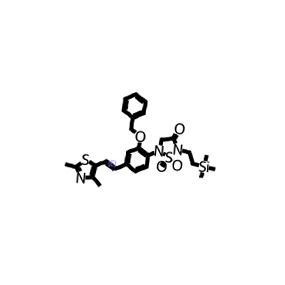 Cc1nc(C)c(/C=C/c2ccc(N3CC(=O)N(CC[Si](C)(C)C)S3(=O)=O)c(OCc3ccccc3)c2)s1